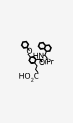 CC(C)CC(NC(=O)c1cc(COc2ccccc2)ccc1CCCC(=O)O)c1cccc2ccccc12